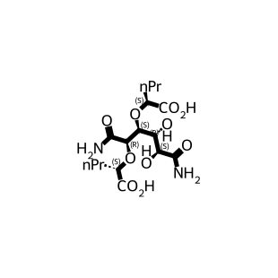 CCC[C@H](O[C@@H]([C@H](O)[C@H](O)C(N)=O)[C@@H](O[C@@H](CCC)C(=O)O)C(N)=O)C(=O)O